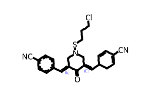 N#CC1=CCC(/C=C2\CN(SCCCCl)C/C(=C\c3ccc(C#N)cc3)C2=O)C=C1